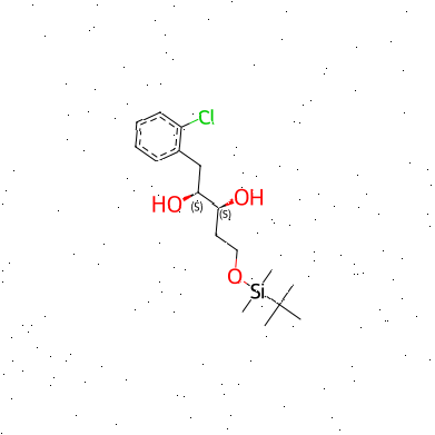 CC(C)(C)[Si](C)(C)OCC[C@H](O)[C@@H](O)Cc1ccccc1Cl